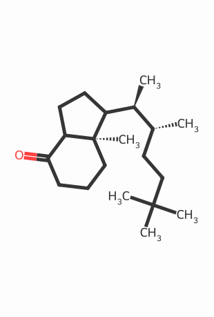 C[C@H](CCC(C)(C)C)[C@H](C)C1CCC2C(=O)CCC[C@@]21C